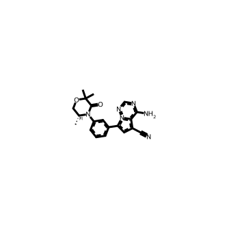 C[C@@H]1COC(C)(C)C(=O)N1c1cccc(-c2cc(C#N)c3c(N)ncnn23)c1